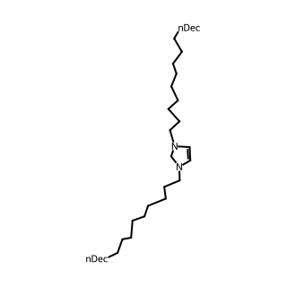 CCCCCCCCCCCCCCCCCCCN1C=CN(CCCCCCCCCCCCCCCCCCC)C1